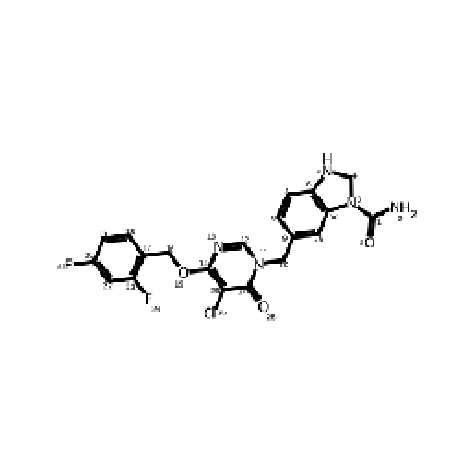 NC(=O)N1CNc2ccc(Cn3cnc(OCc4ccc(F)cc4F)c(Cl)c3=O)cc21